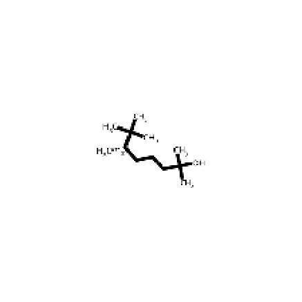 C[C@@H](CCCC(C)(C)O)C(C)(C)C